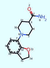 NC(=O)C1CCN(c2cccc3c2OCC3)CC1